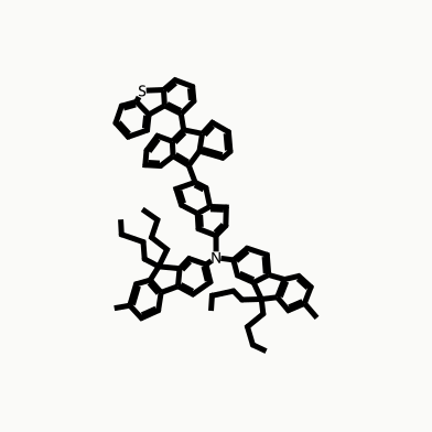 CCCCC1(CCCC)c2cc(C)ccc2-c2ccc(N(c3ccc4c(c3)C(CCCC)(CCCC)c3cc(C)ccc3-4)c3ccc4cc(-c5c6ccccc6c(-c6cccc7sc8ccccc8c67)c6ccccc56)ccc4c3)cc21